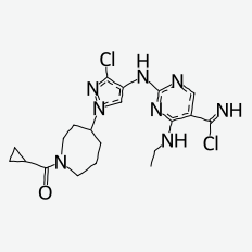 CCNc1nc(Nc2cn(C3CCCN(C(=O)C4CC4)CC3)nc2Cl)ncc1C(=N)Cl